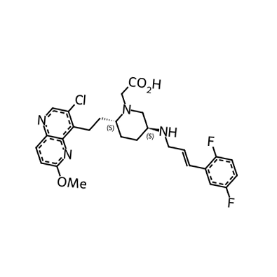 COc1ccc2ncc(Cl)c(CC[C@H]3CC[C@H](NCC=Cc4cc(F)ccc4F)CN3CC(=O)O)c2n1